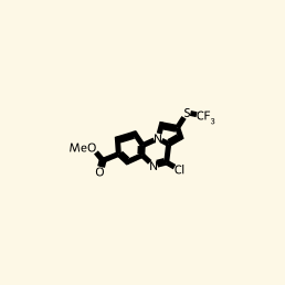 COC(=O)c1ccc2c(c1)nc(Cl)c1cc(SC(F)(F)F)cn12